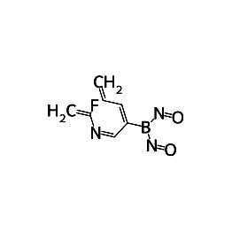 C=C/C=C(\C=N/C(=C)F)B(N=O)N=O